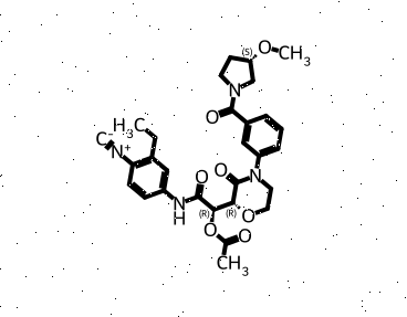 [C-]#[N+]c1ccc(NC(=O)[C@H](OC(C)=O)[C@H]2OCCN(c3cccc(C(=O)N4CC[C@H](OC)C4)c3)C2=O)cc1CC